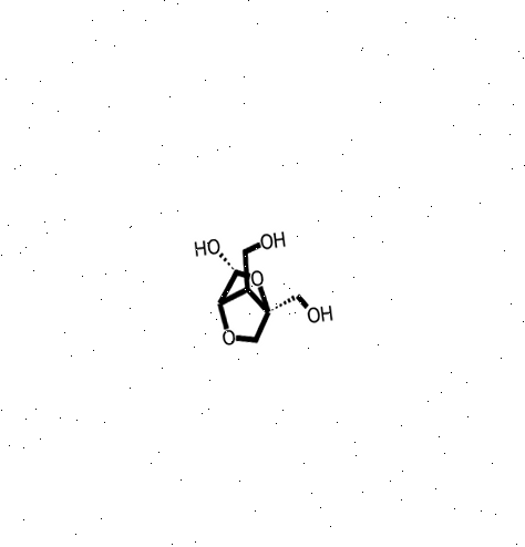 OCC1C2OC[C@]1(CO)O[C@H]2O